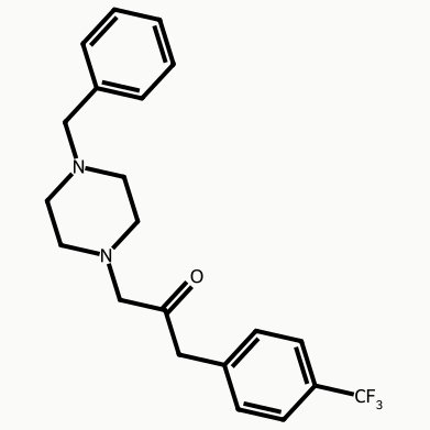 O=C(Cc1ccc(C(F)(F)F)cc1)CN1CCN(Cc2ccccc2)CC1